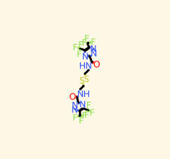 O=C(NCCSSCCNC(=O)c1nnc(C(F)(F)F)c(C(F)(F)F)n1)c1nnc(C(F)(F)F)c(C(F)(F)F)n1